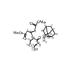 COC(=O)CC(CC(=O)OC)N(CC(=O)O)C(=O)C(C)CS.NC12CC3CC(CC(C3)C1)C2